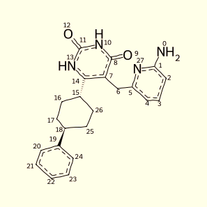 Nc1cccc(Cc2c(=O)[nH]c(=O)[nH]c2[C@H]2CC[C@H](c3ccccc3)CC2)n1